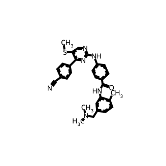 CSc1cnc(Nc2ccc(C(=O)Nc3cc(CN(C)C)ccc3C)cc2)nc1-c1ccc(C#N)cc1